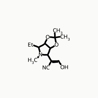 CCC1C2OC(C)(C)OC2C(C(C#N)=CO)N1C